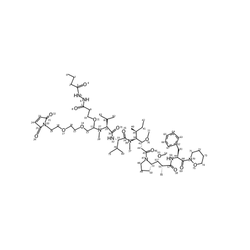 CCCC(=O)NNC(=O)CCOC(COCCOCCN1C(=O)C=CC1=O)N(C)[C@H](C(=O)N[C@H](C(=O)N(C)[C@@H]([C@@H](C)CC)[C@@H](CC(=O)N1CCC[C@H]1[C@H](OC)[C@@H](C)C(=O)N[C@@H](Cc1ccccc1)C(=O)N1CCCCO1)OC)C(C)C)C(C)C